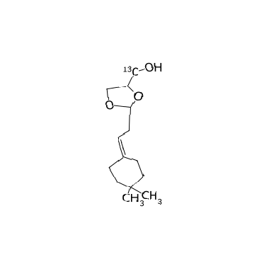 CC1(C)CCC(=CCC2OCC([13CH2]O)O2)CC1